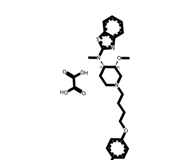 CO[C@@H]1CN(CCCCOc2ccc(Cl)cc2)CC[C@@H]1N(C)c1nc2ccccc2s1.O=C(O)C(=O)O